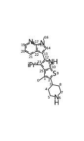 Cc1c(C2CCNCC2)sc2[nH]c(-c3cn(C)c4ncccc34)c(C(C)C)c12